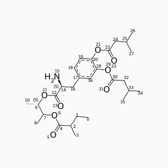 CCC(C)C(=O)OC(C)[C@H](C)OC(=O)[C@@H](N)Cc1ccc(OC(=O)CC(C)C)c(OC(=O)CC(C)C)c1